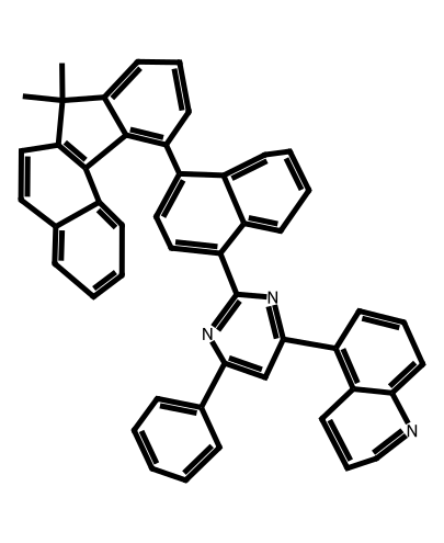 CC1(C)c2cccc(-c3ccc(-c4nc(-c5ccccc5)cc(-c5cccc6ncccc56)n4)c4ccccc34)c2-c2c1ccc1ccccc21